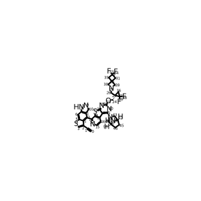 C#Cc1csc2cc3[nH]ncc3c(-c3nccc4c3sc3nc(OC[C@]5(CN6CC7(C6)CC(F)(F)C7)CC5(F)F)nc(N5C[C@H]6CC[C@@H](C5)N6)c34)c12